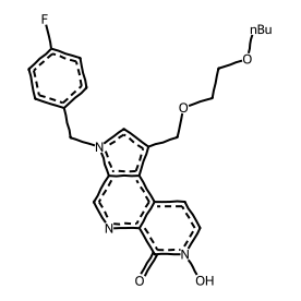 CCCCOCCOCc1cn(Cc2ccc(F)cc2)c2cnc3c(=O)n(O)ccc3c12